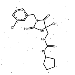 CC1(CNC(=O)NC2CCCC2)NC(=N)N(Cc2cccc(Cl)c2)C1=O